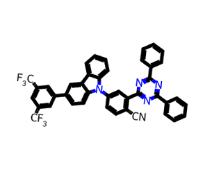 N#Cc1ccc(-n2c3ccccc3c3cc(-c4cc(C(F)(F)F)cc(C(F)(F)F)c4)ccc32)cc1-c1nc(-c2ccccc2)nc(-c2ccccc2)n1